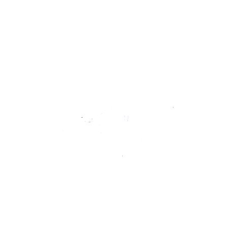 C=CCN1c2cccc(Cl)c2CS1(=O)=O